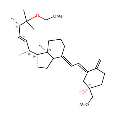 C=C1CC[C@@](O)(COC)CC1=CC=C1CCC[C@@]2(C)C1CC[C@@H]2[C@H](C)/C=C/[C@H](C)C(C)(C)OCOC